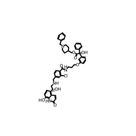 O=C(NCCCOc1cccc([C@](O)(C(=O)OCC2CCN(Cc3ccccc3)CC2)c2ccccc2)c1)c1ccc(CNC[C@H](O)c2ccc(O)c3[nH]c(=O)ccc23)cc1Cl